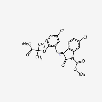 COC(=O)C(C)(C)Oc1ncc(Cl)cc1/C=C1/C(=O)N(C(=O)OC(C)(C)C)c2cc(Cl)ccc21